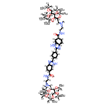 CN(CCNC(=O)c1ccc2nc(-c3ccc(-c4nc5ccc(C(=O)NCCN(C)C[C@H](O[Si](C)(C)C(C)(C)C)C(O[Si](C)(C)C(C)(C)C)C(O[Si](C)(C)C(C)(C)C)[C@@H](CO[Si](C)(C)C(C)(C)C)O[Si](C)(C)C(C)(C)C)cc5[nH]4)cc3)[nH]c2c1)CC(O[Si](C)(C)C(C)(C)C)C(O[Si](C)(C)C(C)(C)C)C(O[Si](C)(C)C(C)(C)C)C(CO[Si](C)(C)C(C)(C)C)O[Si](C)(C)C(C)(C)C